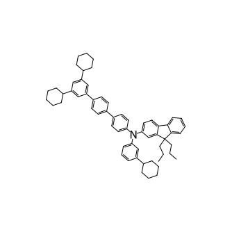 CCCC1(CCC)c2ccccc2-c2ccc(N(c3ccc(-c4ccc(-c5cc(C6CCCCC6)cc(C6CCCCC6)c5)cc4)cc3)c3cccc(C4CCCCC4)c3)cc21